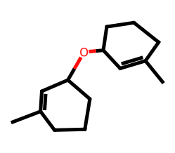 CC1=CC(OC2C=C(C)CCC2)CCC1